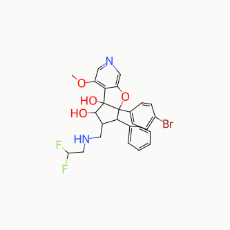 COc1cncc2c1C1(O)C(O)C(CNCC(F)F)C(c3ccccc3)C1(c1ccc(Br)cc1)O2